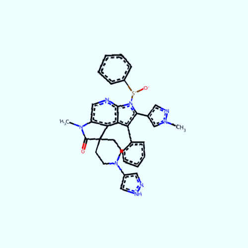 CN1C(=O)C2(CCN(c3cn[nH]c3)CC2)c2c1cnc1c2c(-c2ccccc2)c(-c2cnn(C)c2)n1[S+]([O-])c1ccccc1